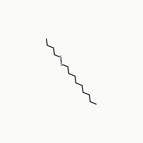 CCCCCCCCCSSCCCC